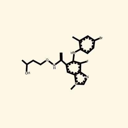 C=C(NOCCC(C)O)c1cc2c(ncn2C)c(F)c1Nc1ccc(Br)cc1C